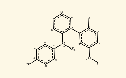 COc1ccc(C)c(-c2ccccc2[S+]([O-])c2ccc(C)cc2)c1